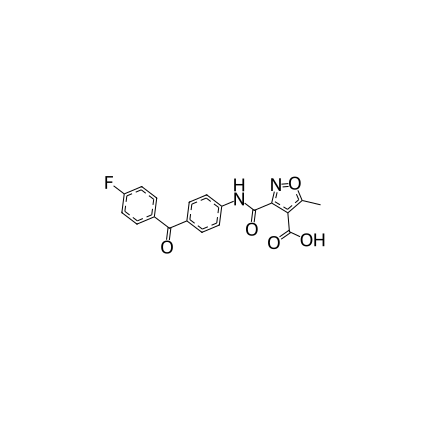 Cc1onc(C(=O)Nc2ccc(C(=O)c3ccc(F)cc3)cc2)c1C(=O)O